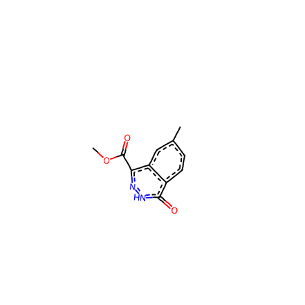 COC(=O)c1n[nH]c(=O)c2ccc(C)cc12